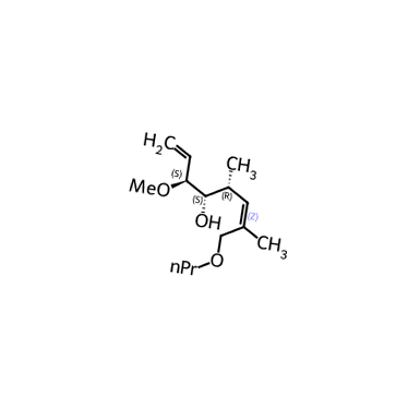 C=C[C@H](OC)[C@@H](O)[C@H](C)/C=C(/C)COCCC